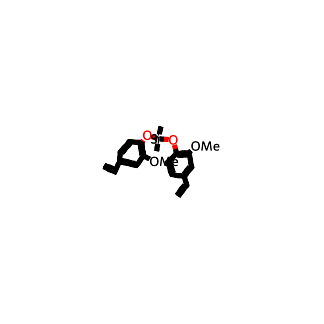 C=Cc1ccc(O[Si](C)(C)Oc2ccc(C=C)cc2OC)c(OC)c1